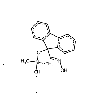 C[Si](C)(C)OC1(/C=N/O)c2ccccc2-c2ccccc21